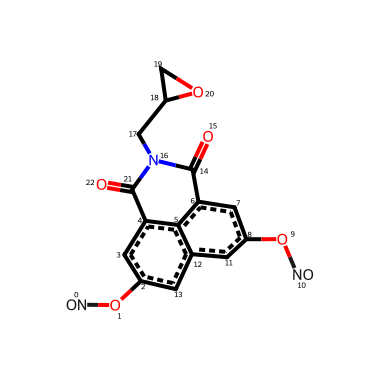 O=NOc1cc2c3c(cc(ON=O)cc3c1)C(=O)N(CC1CO1)C2=O